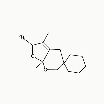 [2H]C1OC2(C)OCC3(CCCCC3)CC2=C1C